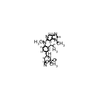 CCc1cc(C(CC#N)NS(C)(=O)=O)ccc1N(C)c1cc2c(cn1)ncn2C